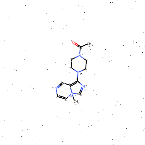 CC(=O)N1CCN(C2=C3C=NC=C[N+]3(C)C=N2)CC1